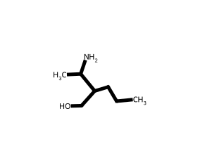 CCCC(CO)C(C)N